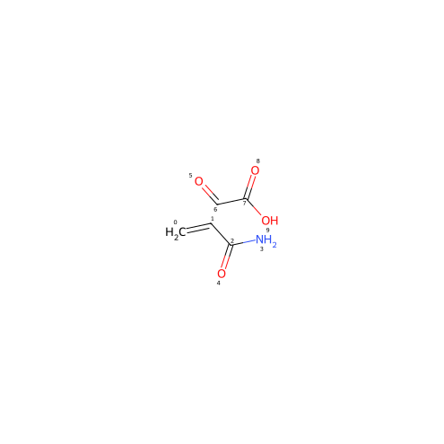 C=CC(N)=O.O=CC(=O)O